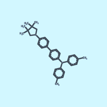 Cc1ccc(N(c2ccc(C)cc2)c2ccc(-c3ccc(B4CC(C)(C)C(C)(C)C4)cc3)cc2)cc1